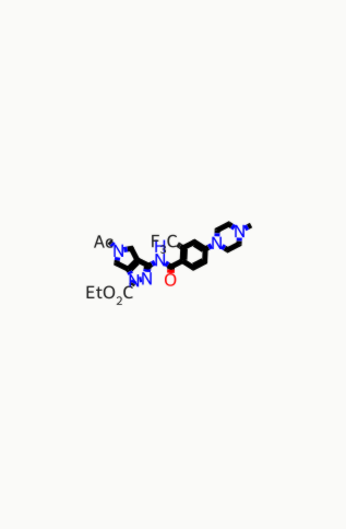 CCOC(=O)n1nc(NC(=O)c2ccc(N3CCN(C)CC3)cc2C(F)(F)F)c2c1CN(C(C)=O)C2